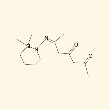 CC(=O)CC(=O)CC(C)=NN1CCCC[Si]1(C)C